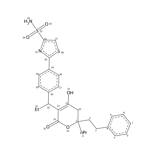 CCCC1(CCc2ccccc2)CC(O)=C(C(CC)c2ccc(-c3nc(S(N)(=O)=O)cs3)cc2)C(=O)O1